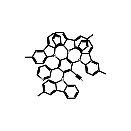 Cc1ccc2c(c1)c1ccccc1n2-c1c(C#N)c(-n2c3ccccc3c3cc(C)ccc32)c(-n2c3ccccc3c3cc(C)ccc32)c(-n2c3ccccc3c3cc(C)ccc32)c1-c1cccnc1